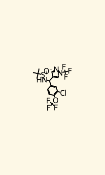 CC(C)(C)[S@@+]([O-])NC(c1ccc(OC(F)(F)F)c(Cl)c1)c1cnn(C(F)(F)F)c1